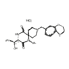 CCCCN1C(=O)[C@H]([C@@H](O)C(C)C)NC(=O)C12CCN(Cc1ccc3c(c1)OCCO3)CC2.Cl